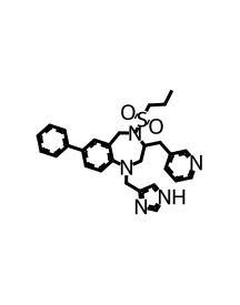 CCCS(=O)(=O)N1Cc2cc(-c3ccccc3)ccc2N(Cc2c[nH]cn2)CC1Cc1cccnc1